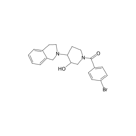 O=C(c1ccc(Br)cc1)N1CCC(N2CCc3ccccc3C2)C(O)C1